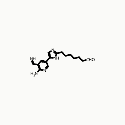 N=Cc1cc(-c2cnc(CCCCCCC=O)[nH]2)cnc1N